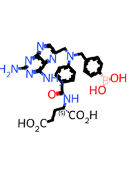 Nc1nc(N)c2nc(CN(Cc3ccc(B(O)O)cc3)c3ccc(C(=O)N[C@@H](CCC(=O)O)C(=O)O)cc3)cnc2n1